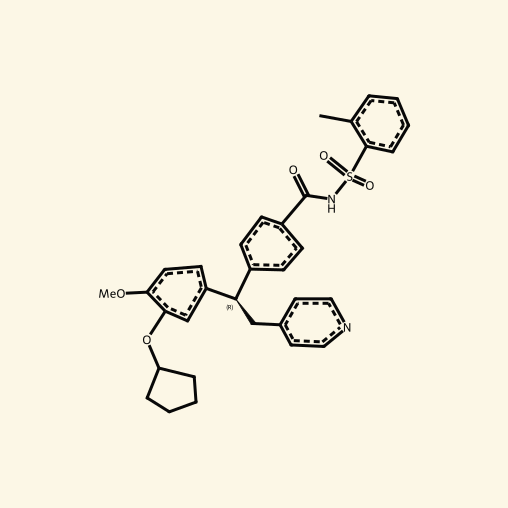 COc1ccc([C@H](Cc2ccncc2)c2ccc(C(=O)NS(=O)(=O)c3ccccc3C)cc2)cc1OC1CCCC1